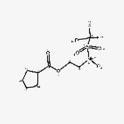 O=C(OCC[NH+]([O-])S(=O)(=O)C(F)(F)F)C1CCCC1